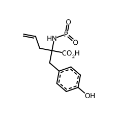 C=CCC(Cc1ccc(O)cc1)(NP(=O)=O)C(=O)O